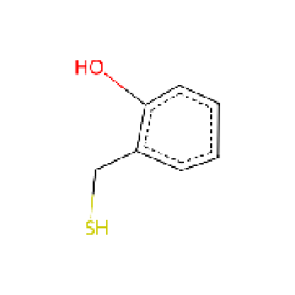 Oc1ccccc1CS